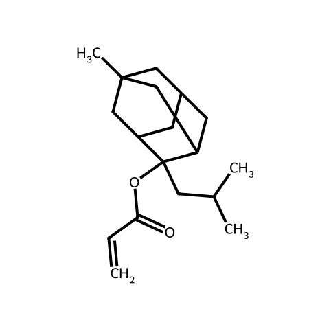 C=CC(=O)OC1(CC(C)C)C2CC3CC1CC(C)(C3)C2